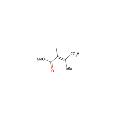 CCCCC(C(=O)O)=C(C)C(=O)OC